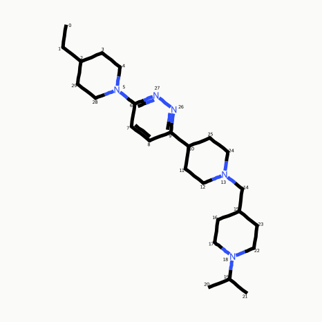 CCC1CCN(c2ccc(C3CCN(CC4CCN(C(C)C)CC4)CC3)nn2)CC1